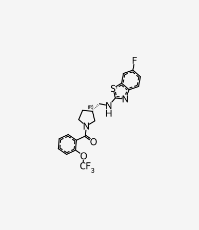 O=C(c1ccccc1OC(F)(F)F)N1CC[C@H](CNc2nc3ccc(F)cc3s2)C1